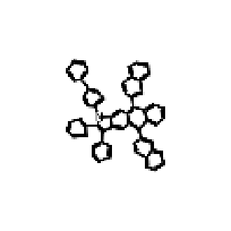 c1ccc(-c2ccc(-n3c(-c4ccccc4)c(-c4ccccc4)c4cc5c(-c6ccc7ccccc7c6)c6ccccc6c(-c6ccc7ccccc7c6)c5cc43)cc2)cc1